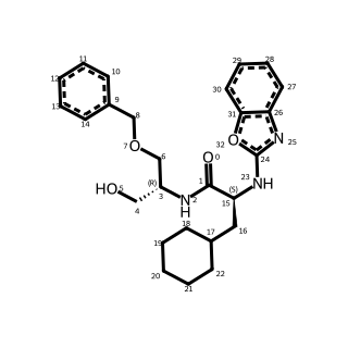 O=C(N[C@H](CO)COCc1ccccc1)[C@H](CC1CCCCC1)Nc1nc2ccccc2o1